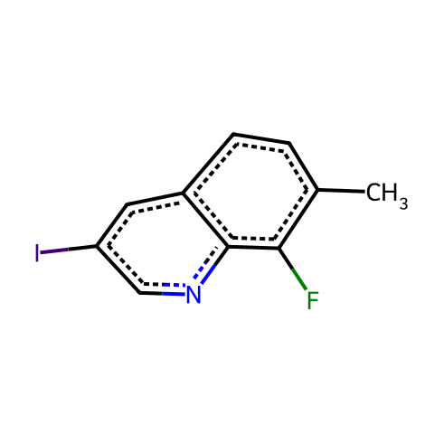 Cc1ccc2cc(I)cnc2c1F